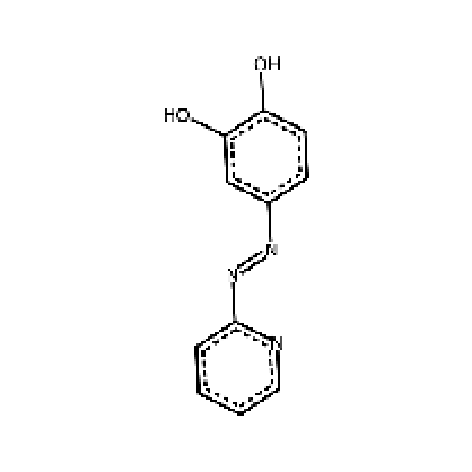 Oc1ccc(N=Nc2ccccn2)cc1O